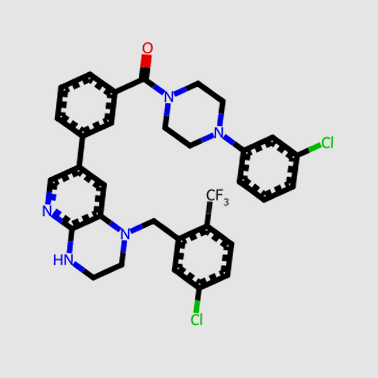 O=C(c1cccc(-c2cnc3c(c2)N(Cc2cc(Cl)ccc2C(F)(F)F)CCN3)c1)N1CCN(c2cccc(Cl)c2)CC1